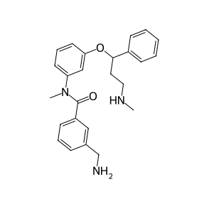 CNCCC(Oc1cccc(N(C)C(=O)c2cccc(CN)c2)c1)c1ccccc1